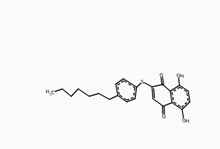 CCCCCCCc1ccc(SC2=CC(=O)c3c(O)ccc(O)c3C2=O)cc1